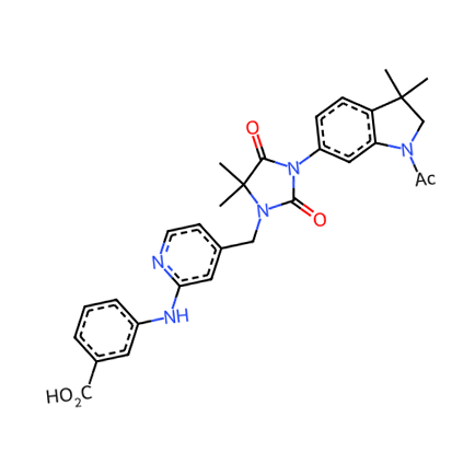 CC(=O)N1CC(C)(C)c2ccc(N3C(=O)N(Cc4ccnc(Nc5cccc(C(=O)O)c5)c4)C(C)(C)C3=O)cc21